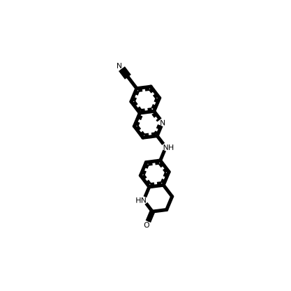 N#Cc1ccc2nc(Nc3ccc4c(c3)CCC(=O)N4)ccc2c1